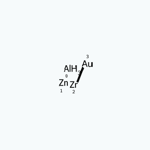 [AlH3].[Zn].[Zr][Au]